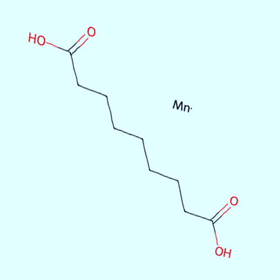 O=C(O)CCCCCCCC(=O)O.[Mn]